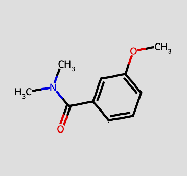 COc1cc[c]c(C(=O)N(C)C)c1